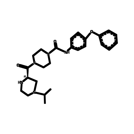 CC(C)N1CCN[C@@H](C(=O)N2CCN(C(=O)Nc3ccc(Oc4ccccc4)cc3)CC2)C1